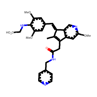 COc1cc2c(cn1)C(=Cc1cc(OC)c(NCC(=O)O)c(OC)c1)C(C)=C2CC(=O)NCc1ccncc1